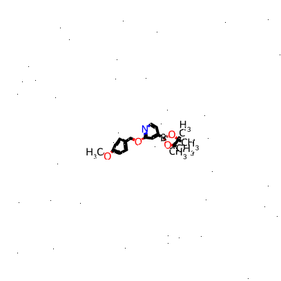 COc1ccc(COc2cc(B3OC(C)(C)C(C)(C)O3)ccn2)cc1